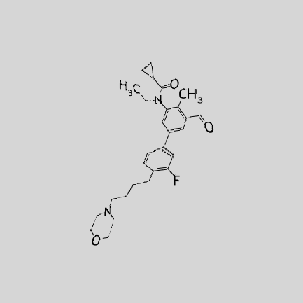 CCN(C(=O)C1CC1)c1cc(-c2ccc(CCCCN3CCOCC3)c(F)c2)cc(C=O)c1C